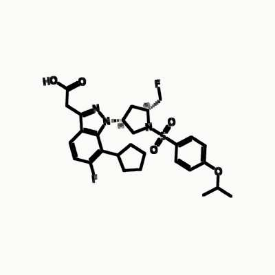 CC(C)Oc1ccc(S(=O)(=O)N2C[C@H](n3nc(CC(=O)O)c4ccc(F)c(C5CCCC5)c43)C[C@@H]2CF)cc1